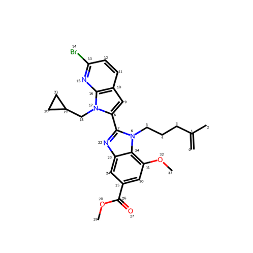 C=C(C)CCCn1c(-c2cc3ccc(Br)nc3n2CC2CC2)nc2cc(C(=O)OC)cc(OC)c21